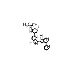 CC(C)Nc1cncc(-c2ccc3[nH]nc(-c4cc5c(-c6ccccn6)cncc5[nH]4)c3n2)c1